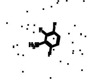 Fc1ccc(F)c([SiH3])c1F